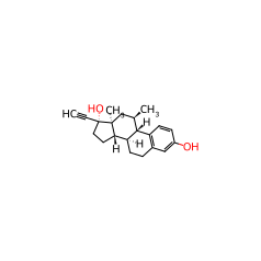 C#C[C@]1(O)CC[C@H]2[C@@H]3CCc4cc(O)ccc4[C@H]3[C@H](C)C[C@@]21C